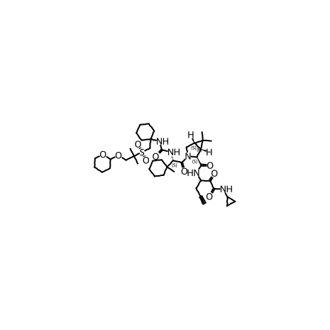 C#CCC(NC(=O)[C@@H]1[C@@H]2[C@H](CN1C(=O)[C@@H](NC(=O)NC1(CS(=O)(=O)C(C)(C)COC3CCCCO3)CCCCC1)C1(C)CCCCC1)C2(C)C)C(=O)C(=O)NC1CC1